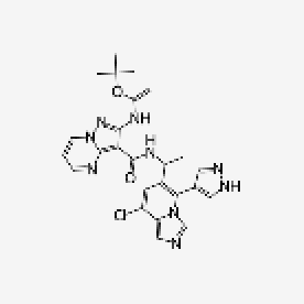 C=C(Nc1nn2cccnc2c1C(=O)NC(C)c1cc(Cl)c2cncn2c1-c1cn[nH]c1)OC(C)(C)C